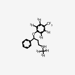 [2H]c1c([2H])c(C(F)(F)F)c([2H])c([2H])c1OC(CCNC([2H])([2H])[2H])c1ccccc1